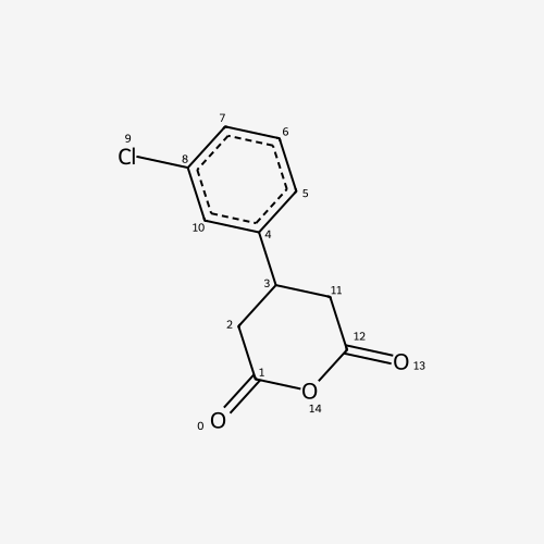 O=C1CC(c2cccc(Cl)c2)CC(=O)O1